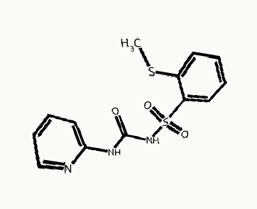 CSc1ccccc1S(=O)(=O)NC(=O)Nc1ccccn1